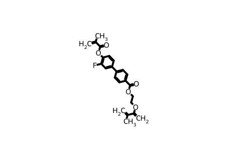 C=C(C)C(=C)OCCOC(=O)c1ccc(-c2ccc(OC(=O)C(=C)C)c(F)c2)cc1